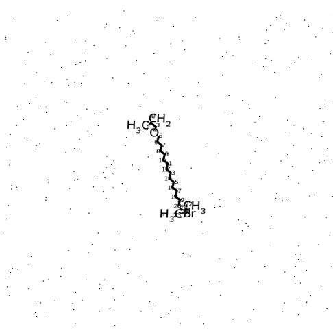 C=C(C)COCCCCCCCCCCCCCCCC[Si](C)(C)Br